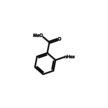 CCCCCCc1ccccc1C(=O)OC